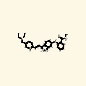 CCN(CC)Cc1ccc(/C=C/c2n[nH]c3cc(Sc4ccccc4C(=O)NC)ccc23)nc1